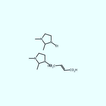 CCN1CCN(C)C1C.CCN1CCN(C)C1C.O=C(O)C=CC(=O)O